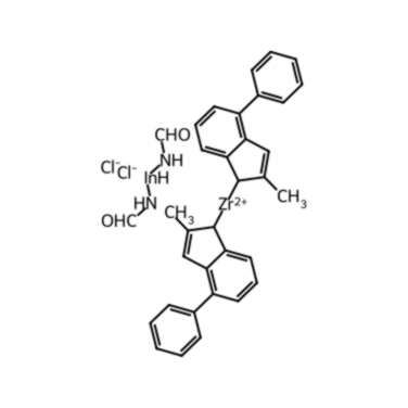 CC1=Cc2c(-c3ccccc3)cccc2[CH]1[Zr+2][CH]1C(C)=Cc2c(-c3ccccc3)cccc21.O=C[NH][InH][NH]C=O.[Cl-].[Cl-]